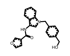 O=C(Nc1cn(Cc2ccc(CO)cc2)c2ccccc12)c1ccoc1